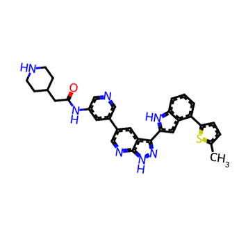 Cc1ccc(-c2cccc3[nH]c(-c4n[nH]c5ncc(-c6cncc(NC(=O)CC7CCNCC7)c6)cc45)cc23)s1